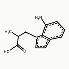 CC(Cn1ccc2cccc(N)c21)C(=O)O